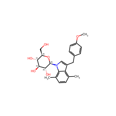 COc1ccc(Cc2cn([C@@H]3O[C@H](CO)[C@@H](O)[C@H](O)[C@H]3O)c3c(C)ccc(C)c23)cc1